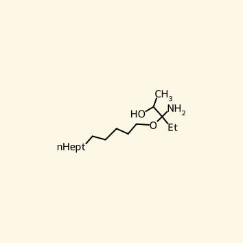 CCCCCCCCCCCCOC(N)(CC)C(C)O